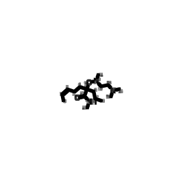 C/C=C\CCC(CCC)(ON(C)CCN(C)C)C(=O)NC